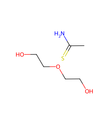 CC(N)=S.OCCOCCO